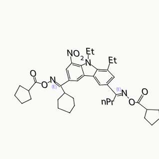 CCC/C(=N\OC(=O)C1CCCC1)c1cc(CC)c2c(c1)c1cc(/C(=N/OC(=O)C3CCCC3)C3CCCCC3)cc([N+](=O)[O-])c1n2CC